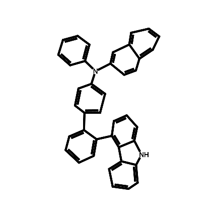 c1ccc(N(c2ccc(-c3ccccc3-c3cccc4[nH]c5ccccc5c34)cc2)c2ccc3ccccc3c2)cc1